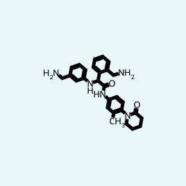 Cc1cc(NC(=O)C(Nc2cccc(CN)c2)c2ccccc2CN)ccc1N1CCCCC1=O